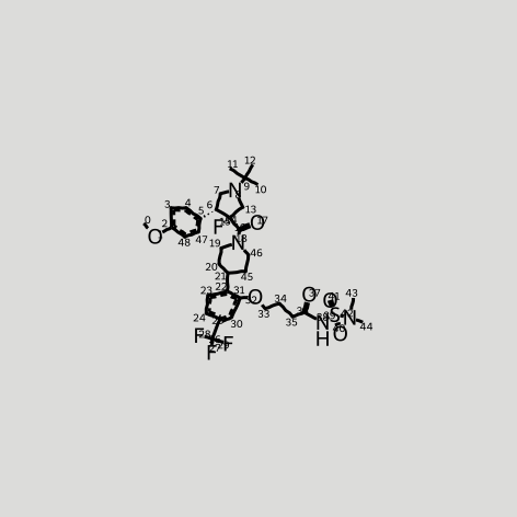 COc1ccc([C@@H]2CN(C(C)(C)C)C[C@@]2(F)C(=O)N2CCC(c3ccc(C(F)(F)F)cc3OCCCC(=O)NS(=O)(=O)N(C)C)CC2)cc1